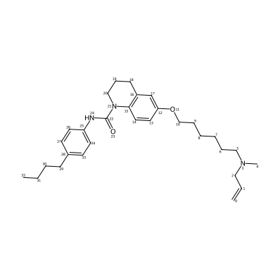 C=CCN(C)CCCCCCOc1ccc2c(c1)CCCN2C(=O)Nc1ccc(CCCC)cc1